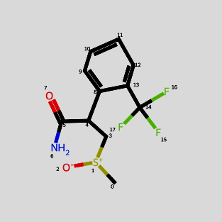 C[S+]([O-])CC(C(N)=O)c1ccccc1C(F)(F)F